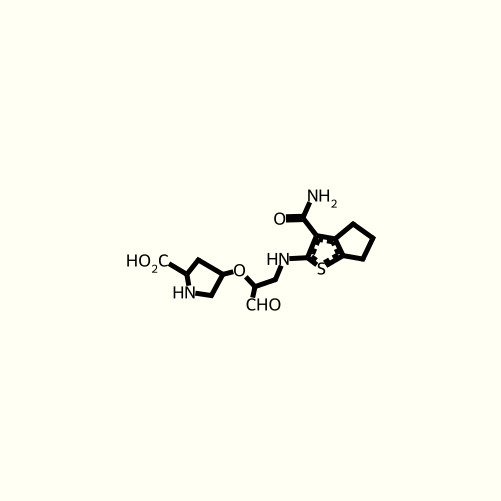 NC(=O)c1c(NCC(C=O)OC2CNC(C(=O)O)C2)sc2c1CCC2